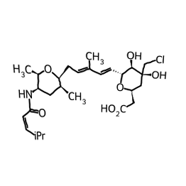 CC(/C=C/[C@H]1O[C@H](CC(=O)O)C[C@@](O)(CCl)[C@@H]1O)=C\C[C@@H]1O[C@H](C)[C@H](NC(=O)/C=C\C(C)C)C[C@@H]1C